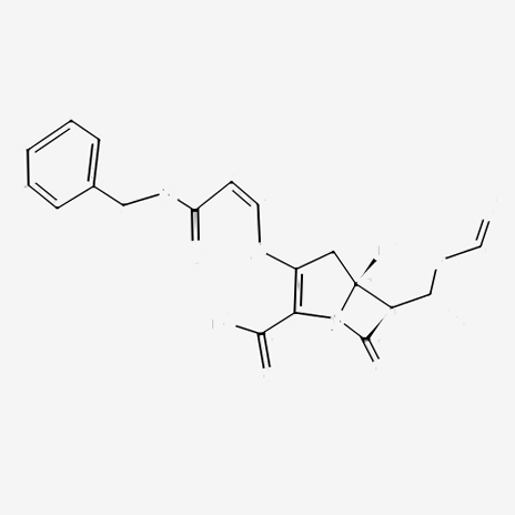 C[C@@H](OC=O)[C@H]1C(=O)N2C(C(=O)O)=C(S/C=C\C(=O)NCc3ccccc3)C[C@H]12